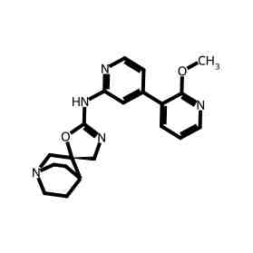 COc1ncccc1-c1ccnc(NC2=NC[C@@]3(CN4CCC3CC4)O2)c1